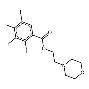 O=C(OCCN1CCOCC1)c1cc(I)c(I)c(I)c1I